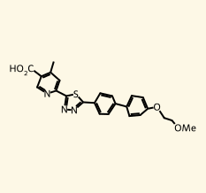 COCCOc1ccc(-c2ccc(-c3nnc(-c4cc(C)c(C(=O)O)cn4)s3)cc2)cc1